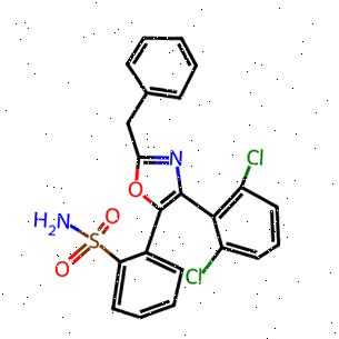 NS(=O)(=O)c1ccccc1-c1oc(Cc2ccccc2)nc1-c1c(Cl)cccc1Cl